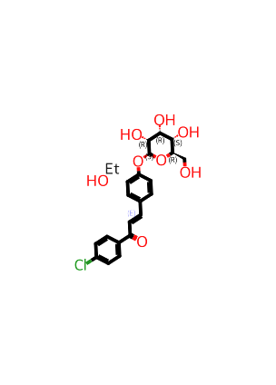 CCO.O=C(/C=C/c1ccc(O[C@@H]2O[C@H](CO)[C@@H](O)[C@@H](O)[C@H]2O)cc1)c1ccc(Cl)cc1